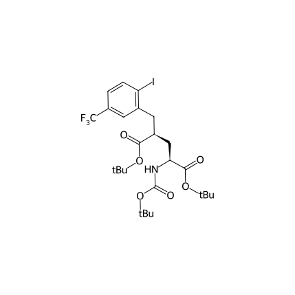 CC(C)(C)OC(=O)N[C@@H](C[C@H](Cc1cc(C(F)(F)F)ccc1I)C(=O)OC(C)(C)C)C(=O)OC(C)(C)C